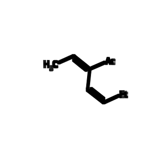 C/C=C(\C=C/CC)C(C)=O